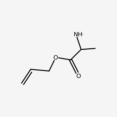 C=CCOC(=O)C(C)[NH]